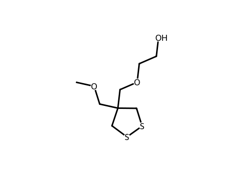 COCC1(COCCO)CSSC1